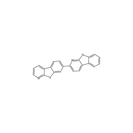 c1ccc2c(c1)oc1nc(-c3ccc4c(c3)sc3ncccc34)ccc12